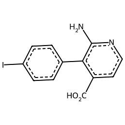 Nc1nccc(C(=O)O)c1-c1ccc(I)cc1